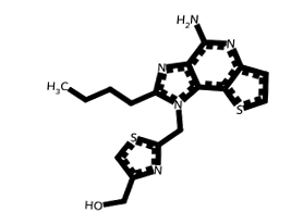 CCCCc1nc2c(N)nc3ccsc3c2n1Cc1nc(CO)cs1